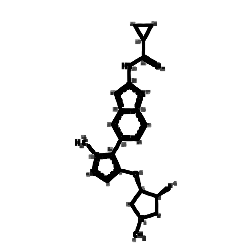 CN1C[C@H](F)[C@H](Oc2cnn(C)c2-c2ccn3nc(NC(=O)C4CC4)cc3c2)C1